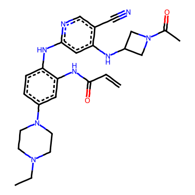 C=CC(=O)Nc1cc(N2CCN(CC)CC2)ccc1Nc1cc(NC2CN(C(C)=O)C2)c(C#N)cn1